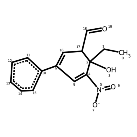 CCC1(O)C([N+](=O)[O-])=CC(c2ccccc2)=CC1C=O